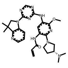 C=CC(=O)Nc1cc(Nc2ncnc(N3CC(C)(C)c4ncccc43)n2)c(OC)nc1N1CC[C@@H](N(C)C)C1